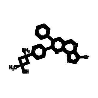 C[C@]1(O)C[C@](N)(c2ccc(-c3nc4c(cnc5c(Br)cnn54)cc3-c3ccccc3)cc2)C1